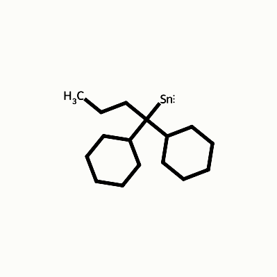 CCC[C]([Sn])(C1CCCCC1)C1CCCCC1